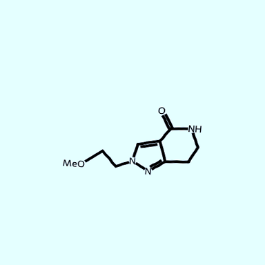 COCCn1cc2c(n1)CCNC2=O